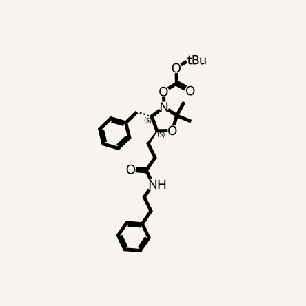 CC(C)(C)OC(=O)ON1[C@@H](Cc2ccccc2)[C@H](CCC(=O)NCCc2ccccc2)OC1(C)C